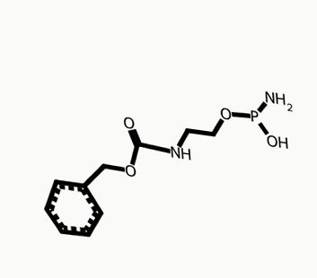 NP(O)OCCNC(=O)OCc1ccccc1